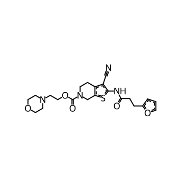 N#Cc1c(NC(=O)CCc2ccco2)sc2c1CCN(C(=O)OCCN1CCOCC1)C2